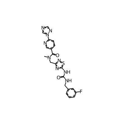 CN(Cc1nsc(NC(=O)NCc2cccc(F)c2)n1)C(=O)c1ccc(-n2cncn2)nc1